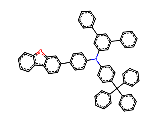 c1ccc(-c2cc(-c3ccccc3)cc(N(c3ccc(-c4ccc5c(c4)oc4ccccc45)cc3)c3ccc(C(c4ccccc4)(c4ccccc4)c4ccccc4)cc3)c2)cc1